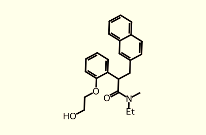 CCN(C)C(=O)C(Cc1ccc2ccccc2c1)c1ccccc1OCCO